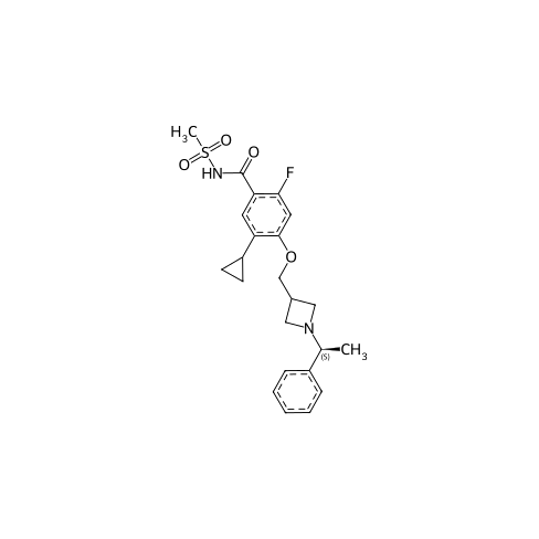 C[C@@H](c1ccccc1)N1CC(COc2cc(F)c(C(=O)NS(C)(=O)=O)cc2C2CC2)C1